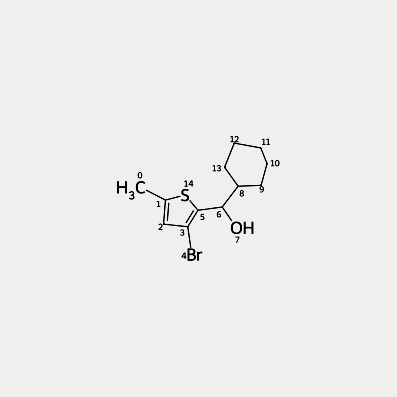 Cc1cc(Br)c(C(O)C2CCCCC2)s1